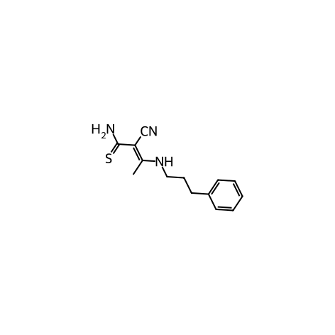 C/C(NCCCc1ccccc1)=C(/C#N)C(N)=S